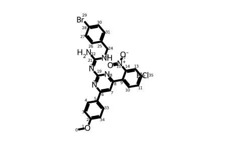 COc1ccc(-c2cc(-c3ccccc3[N+](=O)[O-])nc(N=C(N)NCc3ccc(Br)cc3)n2)cc1.Cl